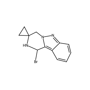 BrC1NC2(CC2)Cn2nc3ccccc3c21